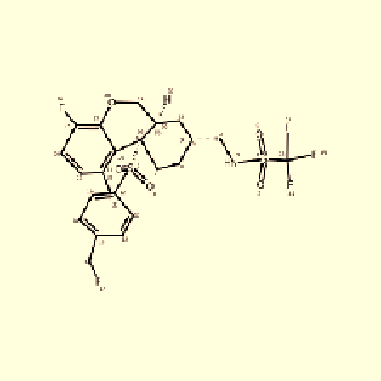 O=S(=O)(NC[C@@H]1CC[C@@]2(S(=O)(=O)c3ccc(CF)cc3)c3c(F)ccc(F)c3OC[C@H]2C1)C(F)(F)F